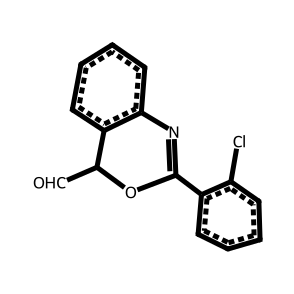 O=CC1OC(c2ccccc2Cl)=Nc2ccccc21